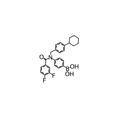 O=C(c1ccc(F)c(F)c1)N(Cc1ccc(C2CCCCC2)cc1)c1ccc(B(O)O)cc1